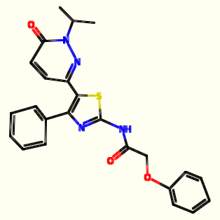 CC(C)n1nc(-c2sc(NC(=O)COc3ccccc3)nc2-c2ccccc2)ccc1=O